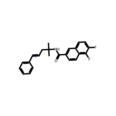 CC(C)(C/C=C/c1ccccc1)NC(=O)c1ccc2c(F)c(F)ccc2c1